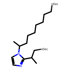 CCCCCCCCCCCCCCCCCC(C)n1ccnc1C(C)CCCCCCCCCCC